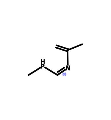 C=C(C)/N=C\PC